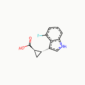 O=C(O)[C@@H]1C[C@H]1c1c[nH]c2cccc(F)c12